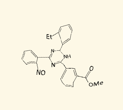 CCc1ccccc1C1N=C(c2ccccc2N=O)N=C(c2cccc(C(=O)OC)c2)N1